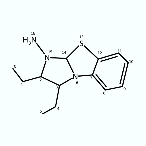 CCC1C(CC)N2c3ccccc3SC2N1N